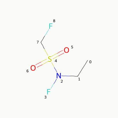 CCN(F)S(=O)(=O)CF